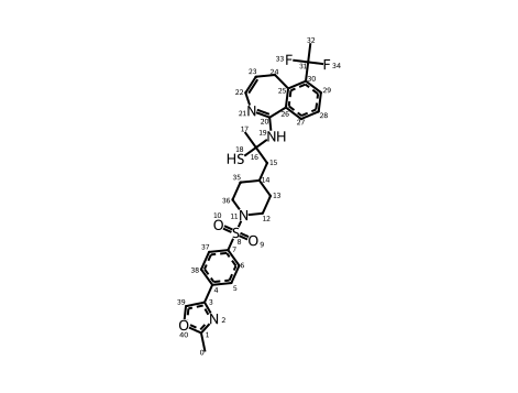 Cc1nc(-c2ccc(S(=O)(=O)N3CCC(CC(C)(S)NC4=NC=CCc5c4cccc5C(C)(F)F)CC3)cc2)co1